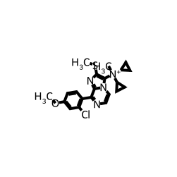 COc1ccc(-c2nccn3c([N+](C)(C4CC4)C4CC4)c(SC)nc23)c(Cl)c1